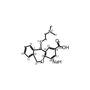 CN(C)CCSC1c2ccccc2COc2ccc(C(=O)O)cc21.[NaH]